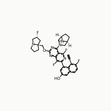 C#Cc1c(F)ccc2cc(O)cc(-c3nc(F)c4c(N5C[C@H]6CC[C@@H](C5)N6)nc(OC[C@@]56CCCN5C[C@H](F)C6)nc4c3F)c12